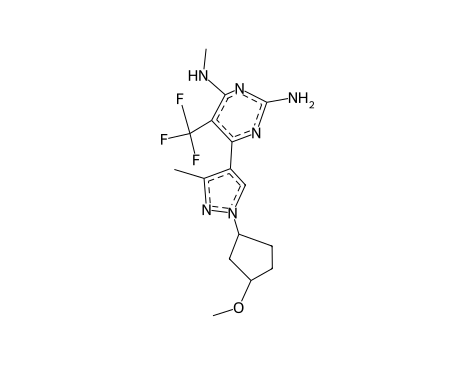 CNc1nc(N)nc(-c2cn(C3CCC(OC)C3)nc2C)c1C(F)(F)F